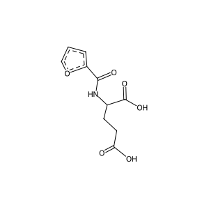 O=C(O)CCC(NC(=O)c1ccco1)C(=O)O